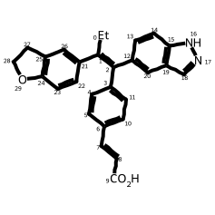 CC/C(=C(/c1ccc(/C=C/C(=O)O)cc1)c1ccc2[nH]ncc2c1)c1ccc2c(c1)CCO2